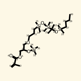 C=C(C)C(=O)OCC(COCCC[Si](C)(C)O[Si](C)(C)C(C)(C)O[Si](C)(C)CCCC)O[Si](C)(C)C